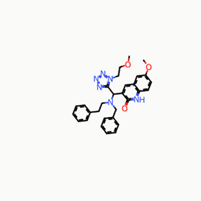 COCCn1nnnc1C(c1cc2cc(OC)ccc2[nH]c1=O)N(CCc1ccccc1)Cc1ccccc1